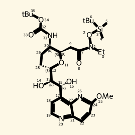 CCN(O[Si](C)(C)C(C)(C)C)C(=O)C[C@H]1O[C@H]([C@H](O)[C@H](O)c2ccnc3ccc(OC)nc23)CC[C@H]1NC(=O)OC(C)(C)C